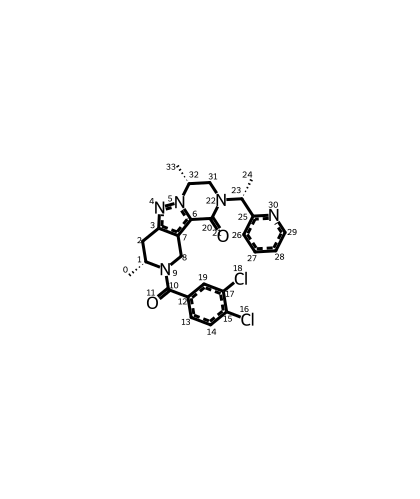 C[C@@H]1Cc2nn3c(c2CN1C(=O)c1ccc(Cl)c(Cl)c1)C(=O)N([C@H](C)c1ccccn1)C[C@H]3C